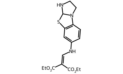 CCOC(=O)C(=CNc1ccc2c(c1)SC1NCCN21)C(=O)OCC